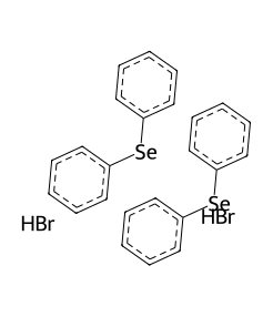 Br.Br.c1ccc([Se]c2ccccc2)cc1.c1ccc([Se]c2ccccc2)cc1